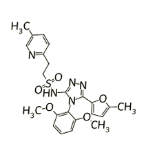 COc1cccc(OC)c1-n1c(NS(=O)(=O)CCc2ccc(C)cn2)nnc1-c1ccc(C)o1